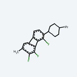 CCCC1CCC(c2ccc3c(c2F)-c2c-3cc(C)c(F)c2F)CC1